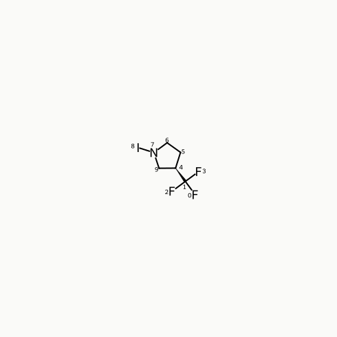 FC(F)(F)[C@@H]1CCN(I)C1